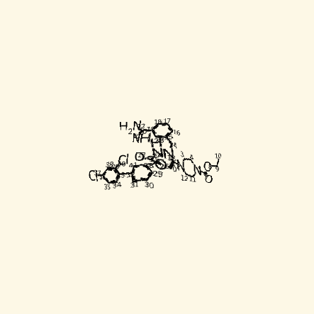 C=C(N1CCN(C(=O)OCC)CC1)N(Cc1cccc(C(=N)N)c1)NS(=O)(=O)c1cccc(-c2ccc(Cl)cc2Cl)c1